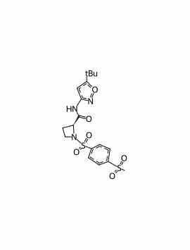 CC(C)(C)c1cc(NC(=O)[C@@H]2CCN2S(=O)(=O)c2ccc(S(C)(=O)=O)cc2)no1